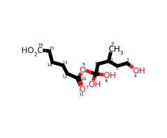 CC(CCO)CC(O)(O)OC(=O)CCCCC(=O)O